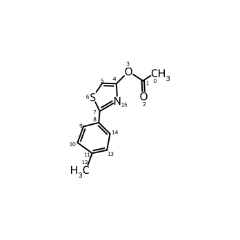 CC(=O)Oc1csc(-c2ccc(C)cc2)n1